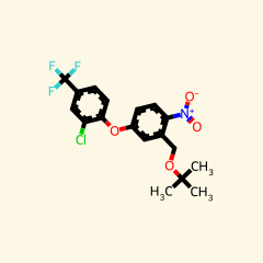 CC(C)(C)OCc1cc(Oc2ccc(C(F)(F)F)cc2Cl)ccc1[N+](=O)[O-]